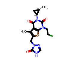 Cc1c(Cn2nc[nH]c2=O)sc2c1c(=O)n([C@H]1C[C@@H]1C)c(=O)n2CCF